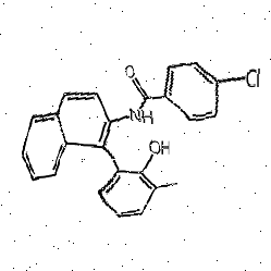 Cc1cccc(-c2c(NC(=O)c3ccc(Cl)cc3)ccc3ccccc23)c1O